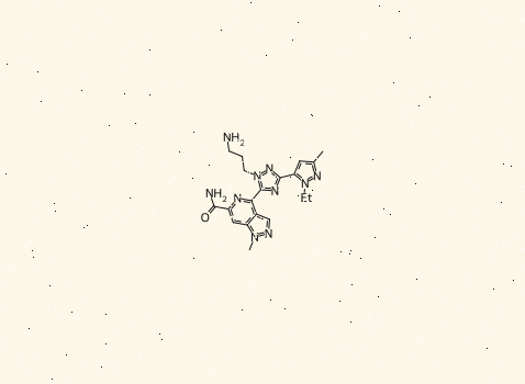 CCn1nc(C)cc1-c1nc(-c2nc(C(N)=O)cc3c2cnn3C)n(CCCN)n1